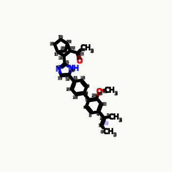 C/C=C(\C)c1ccc(-c2ccc(-c3cnc(C4C5CCC(C5)C4C(C)=O)[nH]3)cc2)c(OC)c1